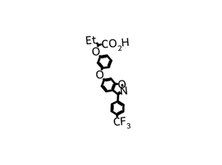 CCC(Oc1cccc(Oc2ccc3c(-c4ccc(C(F)(F)F)cc4)noc3c2)c1)C(=O)O